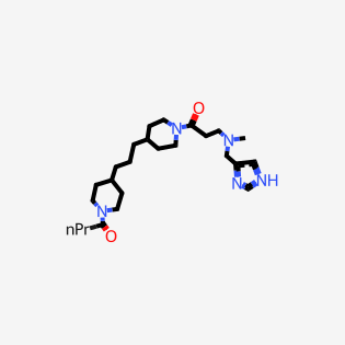 CCCC(=O)N1CCC(CCCC2CCN(C(=O)CCN(C)Cc3c[nH]cn3)CC2)CC1